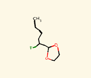 CCCC(F)C1OCCO1